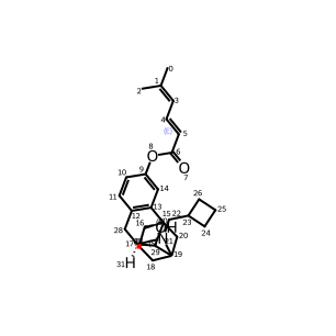 CC(C)=C/C=C/C(=O)Oc1ccc2c(c1)[C@]13CCCC4(C1)N(CC1CCC1)[C@H](C2)[C@]43O